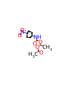 CC(=O)OC(C)OC(=O)Nc1ccc([N+](=O)[O-])cc1